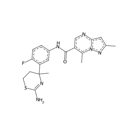 Cc1cc2ncc(C(=O)Nc3ccc(F)c(C4(C)CCSC(N)=N4)c3)c(C)n2n1